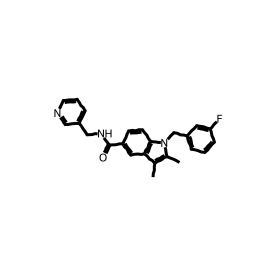 Cc1c(C)n(Cc2cccc(F)c2)c2ccc(C(=O)NCc3cccnc3)cc12